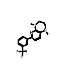 CN1CCCN(C)c2nc(-c3cccc(C(F)(F)F)c3)ccc21